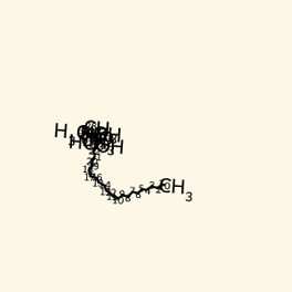 CCCCCCCCCC/C=C\CCCCC/C=C\CCCCCC(O)(C[N+](C)(C)C)P(=O)(O)O